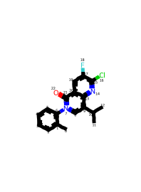 Cc1ccccc1-n1cc(C(C)C)c2nc(Cl)c(F)cc2c1=O